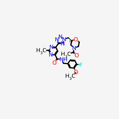 COc1cc(CNC(=O)c2cc(-c3nnn(C[C@@H]4CN(C(C)=O)CCO4)n3)nc(C)n2)ccc1F